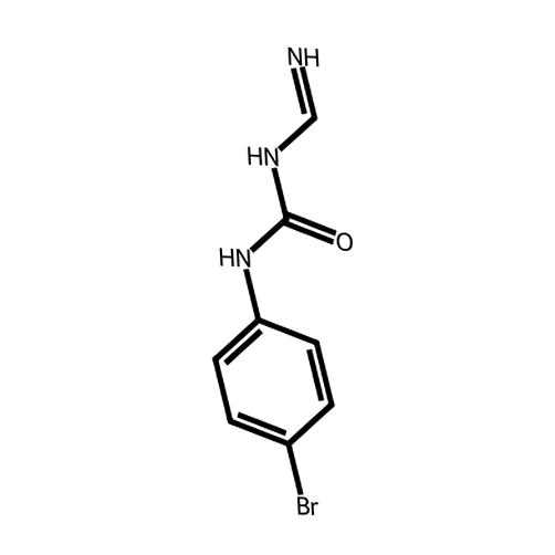 N=CNC(=O)Nc1ccc(Br)cc1